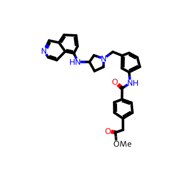 COC(=O)Cc1ccc(C(=O)Nc2cccc(CN3CCC(Nc4cccc5cnccc45)C3)c2)cc1